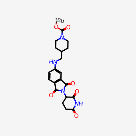 CC(C)(C)OC(=O)N1CCC(CNc2ccc3c(c2)C(=O)N(C2CCC(=O)NC2=O)C3=O)CC1